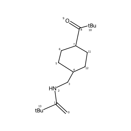 C=C(NCC1CCC(C(=O)C(C)(C)C)CC1)C(C)(C)C